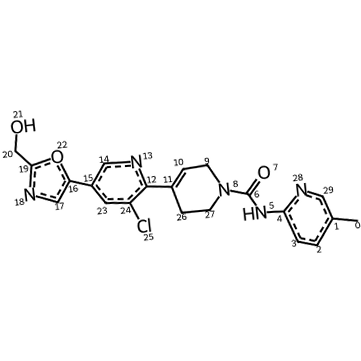 Cc1ccc(NC(=O)N2CC=C(c3ncc(-c4cnc(CO)o4)cc3Cl)CC2)nc1